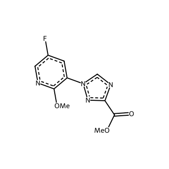 COC(=O)c1ncn(-c2cc(F)cnc2OC)n1